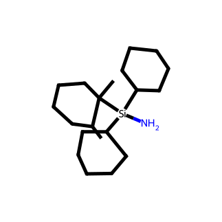 CC1CCCCC1(C)[Si](N)(C1CCCCC1)C1CCCCC1